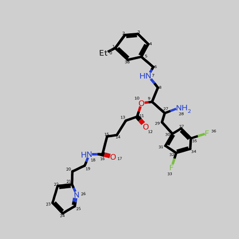 CCc1cccc(CNCC(OC(=O)CCCC(=O)NCCc2ccccn2)C(N)Cc2cc(F)cc(F)c2)c1